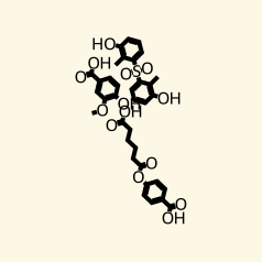 COc1cc(C(=O)O)ccc1O.Cc1c(O)cccc1S(=O)(=O)c1cccc(O)c1C.O=C(O)CCCCC(=O)Oc1ccc(C(=O)O)cc1